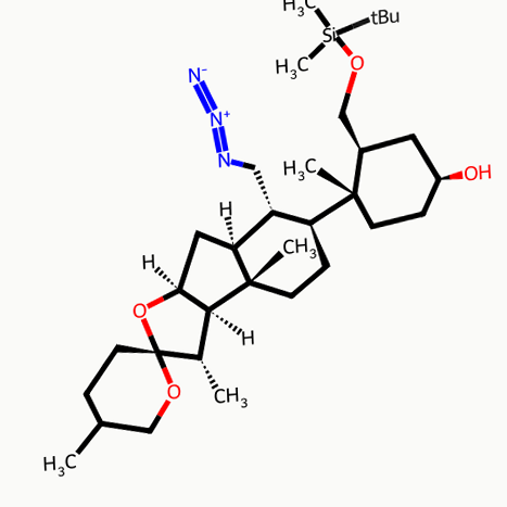 CC1CC[C@@]2(OC1)O[C@H]1C[C@H]3[C@H](CN=[N+]=[N-])[C@@H]([C@@]4(C)CC[C@H](O)C[C@@H]4CO[Si](C)(C)C(C)(C)C)CC[C@]3(C)[C@H]1[C@@H]2C